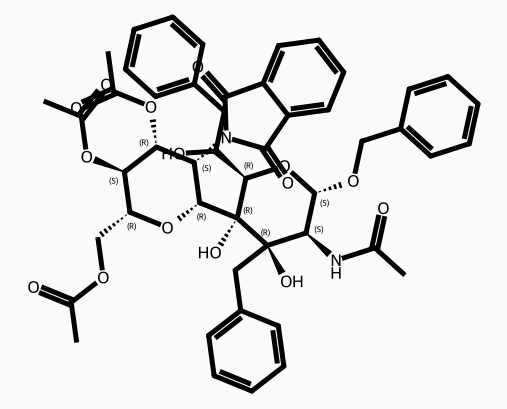 CC(=O)N[C@@H]1[C@@H](OCc2ccccc2)O[C@H](C(O)Cc2ccccc2)[C@](O)([C@@H]2O[C@H](COC(C)=O)[C@@H](OC(C)=O)[C@H](OC(C)=O)[C@@H]2N2C(=O)c3ccccc3C2=O)[C@@]1(O)Cc1ccccc1